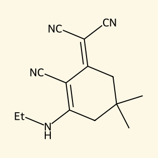 CCNC1=C(C#N)C(=C(C#N)C#N)CC(C)(C)C1